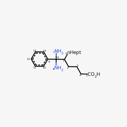 CCCCCCCC(CCCC(=O)O)C(N)(N)c1ccccc1